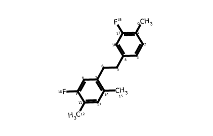 Cc1ccc(CCc2cc(F)c(C)cc2C)cc1F